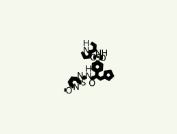 CCC(NS(=O)(=O)c1ccc(C(CC2CCCC2)C(=O)Nc2nc3ccc(OC)nc3s2)cc1)C1CCCN1